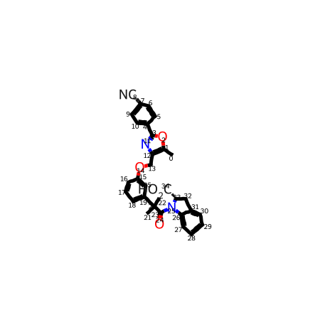 Cc1oc(-c2ccc(C#N)cc2)nc1COc1cccc(C(C)(C)C(=O)N2c3ccccc3C[C@@H]2C(=O)O)c1